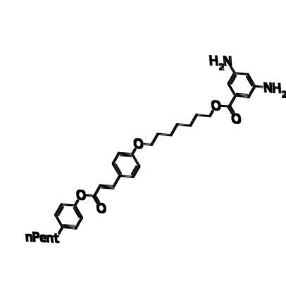 CCCCCc1ccc(OC(=O)/C=C/c2ccc(OCCCCCCCOC(=O)c3cc(N)cc(N)c3)cc2)cc1